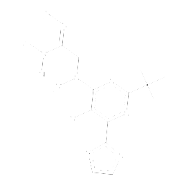 CN(N)/C(CN(N)c1nc(C(C)(C)C)nc(-c2ncc[nH]2)c1N)=N\N